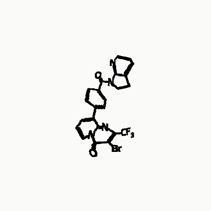 O=C(c1ccc(-c2cccn3c(=O)c(Br)c(C(F)(F)F)nc23)cc1)N1CCc2cccnc21